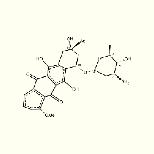 COc1cccc2c1C(=O)c1c(O)c3c(c(O)c1C2=O)C[C@@](O)(C(C)=O)C[C@@H]3O[C@H]1C[C@H](N)[C@@H](O)[C@H](C)O1